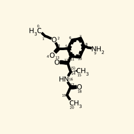 CCOC(=O)c1ccc(N)cc1C(=O)[C@H](C)NC(=O)CC